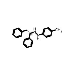 Cc1ccc(NN[C@@H](Cc2ccccc2)c2ccccc2)cc1